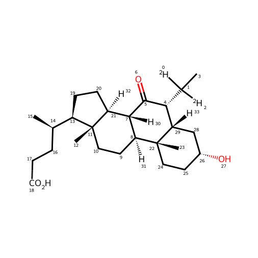 [2H]C([2H])(C)[C@H]1C(=O)[C@@H]2[C@H](CC[C@]3(C)[C@@H]([C@H](C)CCC(=O)O)CC[C@@H]23)[C@@]2(C)CC[C@@H](O)C[C@@H]12